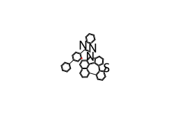 c1ccc(-c2ccc(-c3nc4ccccc4nc3-n3c4ccc5cccc6c5c4c4c5c(ccc43)sc3cccc-6c35)cc2)cc1